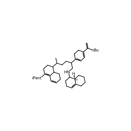 C=C(CCCC)C1=CC=C(C(CCC(C)C2CCC(C(C)CCC)=C3C=CCCC32)CNC2CCC=C3CCCC[C@H]32)CC1